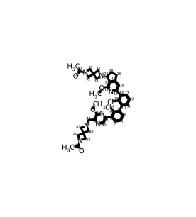 COc1nc(-c2cccc(-c3cccc(-c4cc5c(c(OC)n4)[C@H](N4CC6(CN(C(C)=O)C6)C4)CC5)c3Cl)c2Cl)cnc1CN1CC2(C1)CN(C(C)=O)C2